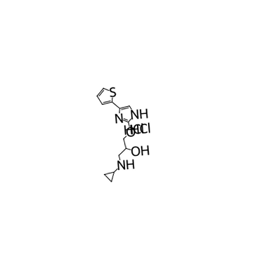 Cl.Cl.OC(CNC1CC1)COc1nc(-c2cccs2)c[nH]1